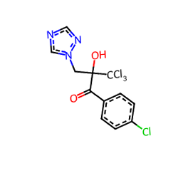 O=C(c1ccc(Cl)cc1)C(O)(Cn1cncn1)C(Cl)(Cl)Cl